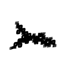 CCOC(=O)OCOC(OCCn1cnc2c(Sc3ccc(OC)cc3)ncnc21)(OCOC(=O)OCC)P(=O)(O)O